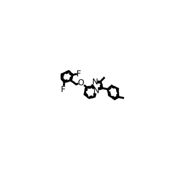 Cc1ccc(-c2c(C)nc3c(OCc4c(F)cccc4F)cccn23)cc1